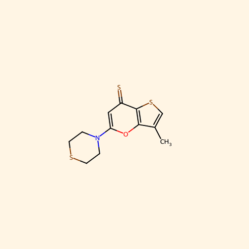 Cc1csc2c(=S)cc(N3CCSCC3)oc12